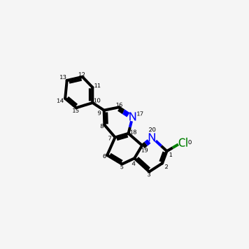 Clc1ccc2ccc3cc(-c4ccccc4)cnc3c2n1